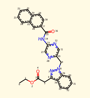 CCOC(=O)Cc1nn(Cc2cnc(NC(=O)c3ccc4ccccc4c3)cn2)c2ccccc12